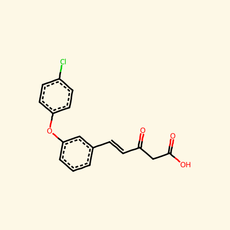 O=C(O)CC(=O)C=Cc1cccc(Oc2ccc(Cl)cc2)c1